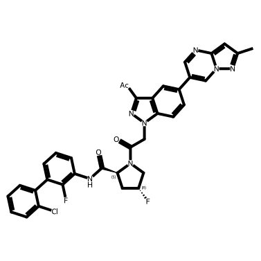 CC(=O)c1nn(CC(=O)N2C[C@H](F)C[C@H]2C(=O)Nc2cccc(-c3ccccc3Cl)c2F)c2ccc(-c3cnc4cc(C)nn4c3)cc12